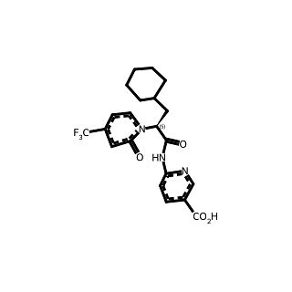 O=C(O)c1ccc(NC(=O)[C@H](CC2CCCCC2)n2ccc(C(F)(F)F)cc2=O)nc1